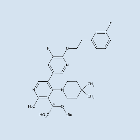 Cc1ncc(-c2cnc(OCCc3cccc(F)c3)c(F)c2)c(N2CCC(C)(C)CC2)c1[C@H](OC(C)(C)C)C(=O)O